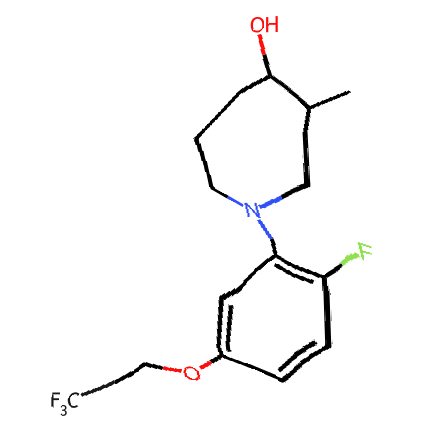 CC1CN(c2cc(OCC(F)(F)F)ccc2F)CCC1O